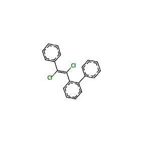 ClC(=C(Cl)c1ccccc1-c1ccccc1)c1ccccc1